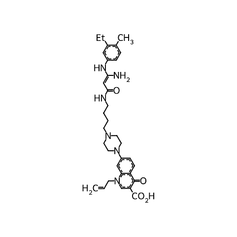 C=CCn1cc(C(=O)O)c(=O)c2ccc(N3CCN(CCCCNC(=O)/C=C(\N)Nc4ccc(C)c(CC)c4)CC3)cc21